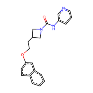 O=C(Nc1cccnc1)N1CC(CCOc2ccc3ccccc3c2)C1